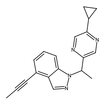 CC#Cc1cccc2c1cnn2C(C)c1cnc(C2CC2)cn1